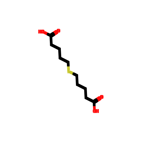 O=C(O)CCCCSCCCCC(=O)O